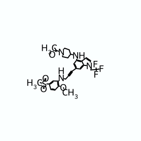 COc1ccc(S(C)(=O)=O)cc1NCC#Cc1cc(NC2CCN(C(C)=O)CC2)c2ccn(CC(F)(F)F)c2c1